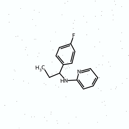 CCC(Nc1cc[c]cn1)c1ccc(F)cc1